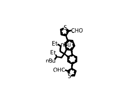 CCCCC(CC)CC1(CC(CC)CCCC)c2cc(-c3ccsc3C=O)ccc2-c2ccc(-c3ccsc3C=O)cc21